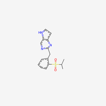 CC(C)S(=O)(=O)c1ccccc1Cc1ncc2[nH]ccc2n1